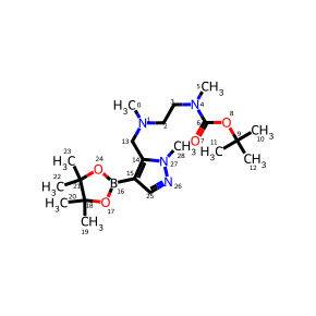 CN(CCN(C)C(=O)OC(C)(C)C)Cc1c(B2OC(C)(C)C(C)(C)O2)cnn1C